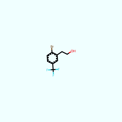 OCCc1cc(C(F)(F)F)ccc1Br